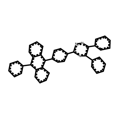 c1ccc(-c2nnc(-c3ccc(-c4c5ccccc5c(-c5ccccc5)c5ccccc45)cc3)nc2-c2ccccc2)cc1